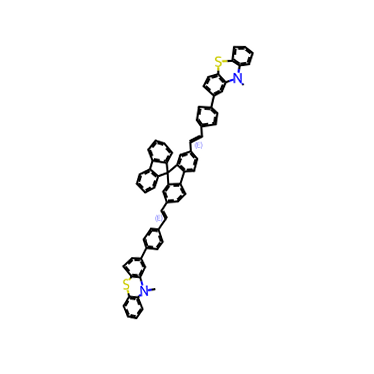 CN1c2ccccc2Sc2ccc(-c3ccc(/C=C/c4ccc5c(c4)C4(c6ccccc6-c6ccccc64)c4cc(/C=C/c6ccc(-c7ccc8c(c7)N(C)c7ccccc7S8)cc6)ccc4-5)cc3)cc21